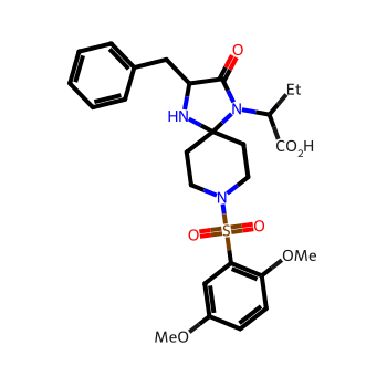 CCC(C(=O)O)N1C(=O)C(Cc2ccccc2)NC12CCN(S(=O)(=O)c1cc(OC)ccc1OC)CC2